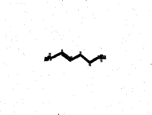 CCC/C=C/CCCCCC